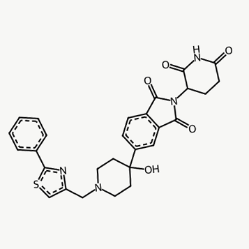 O=C1CCC(N2C(=O)c3ccc(C4(O)CCN(Cc5csc(-c6ccccc6)n5)CC4)cc3C2=O)C(=O)N1